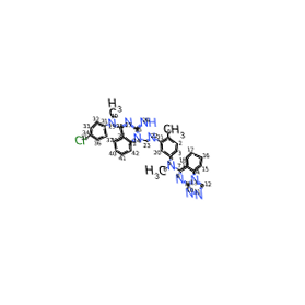 Cc1ccc(N(C)c2nc3nncn3c3ccccc23)cc1/N=C/n1c(=N)nc(N(C)c2ccc(Cl)cc2)c2ccccc21